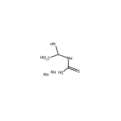 CCCC(NC(=S)S)C(=O)O.[KH].[KH]